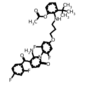 CC(=O)Oc1cccc(C(C)(C)C)c1NCCCOc1cc(F)c(-n2c(N)c(C(=O)c3ccc(F)cc3F)ccc2=O)c(F)c1